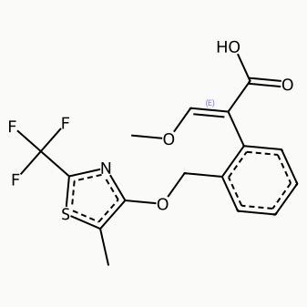 CO/C=C(/C(=O)O)c1ccccc1COc1nc(C(F)(F)F)sc1C